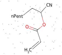 C=CC(=O)OC(C#N)CCCCCC